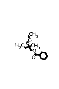 CCOOC(C)(CC)COC(=O)C1CCCCC1